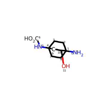 NC12CCC(NC(=O)O)(CC1)CC2O